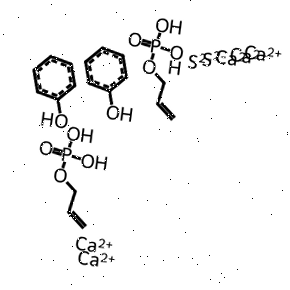 C=CCOP(=O)(O)O.C=CCOP(=O)(O)O.Oc1ccccc1.Oc1ccccc1.[Ca+2].[Ca+2].[Ca+2].[Ca+2].[Ca+2].[S-2].[S-2]